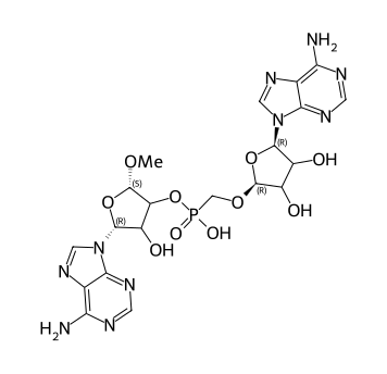 CO[C@H]1O[C@@H](n2cnc3c(N)ncnc32)C(O)C1OP(=O)(O)CO[C@H]1O[C@@H](n2cnc3c(N)ncnc32)C(O)C1O